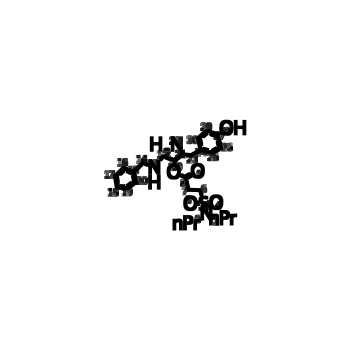 CCCN(CCC)S(=O)(=O)CCC(=O)OC(CNCc1ccccc1)C(N)Cc1ccc(O)cc1